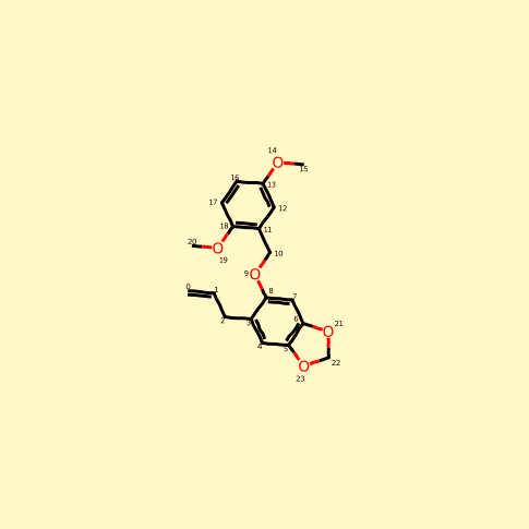 C=CCc1cc2c(cc1OCc1cc(OC)ccc1OC)OCO2